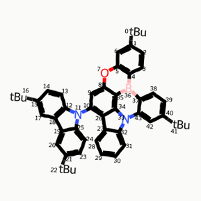 CC(C)(C)c1ccc2c(c1)Oc1cc(-n3c4ccc(C(C)(C)C)cc4c4cc(C(C)(C)C)ccc43)c3c4ccccc4n4c3c1B2c1ccc(C(C)(C)C)cc1-4